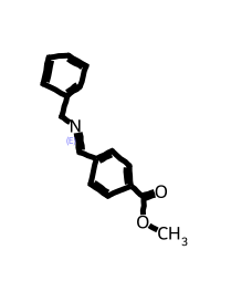 COC(=O)c1ccc(/C=N/Cc2ccccc2)cc1